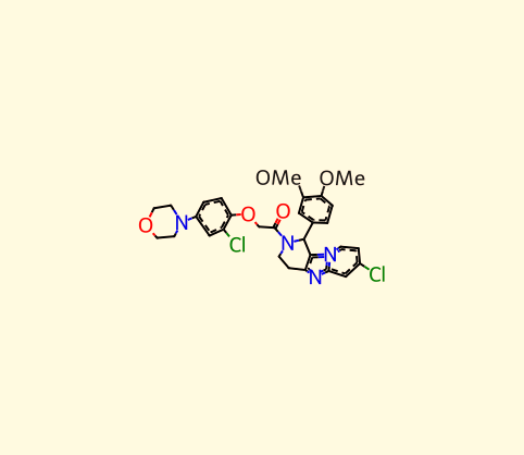 COc1ccc(C2c3c(nc4cc(Cl)ccn34)CCN2C(=O)COc2ccc(N3CCOCC3)cc2Cl)cc1OC